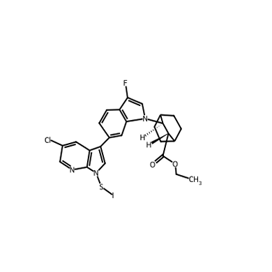 CCOC(=O)[C@H]1C2CCC(CC2)[C@@H]1n1cc(F)c2ccc(-c3cn(SI)c4ncc(Cl)cc34)cc21